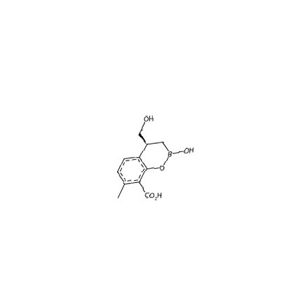 Cc1ccc2c(c1C(=O)O)OB(O)C[C@@H]2CO